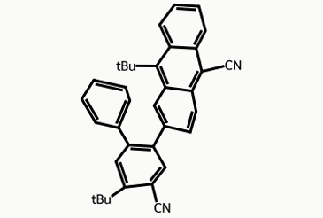 CC(C)(C)c1cc(-c2ccccc2)c(-c2ccc3c(C#N)c4ccccc4c(C(C)(C)C)c3c2)cc1C#N